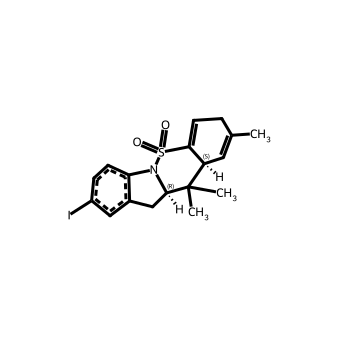 CC1=C[C@@H]2C(=CC1)S(=O)(=O)N1c3ccc(I)cc3C[C@@H]1C2(C)C